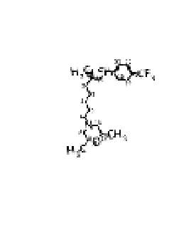 C=C(CCCCCN1CC(C)OC(C)C1)C[SiH2]c1ccc(C(F)(F)F)cc1